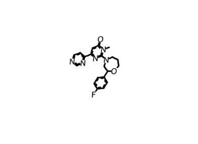 Cn1c(N2CCCOC(c3ccc(F)cc3)C2)nc(-c2ccncn2)cc1=O